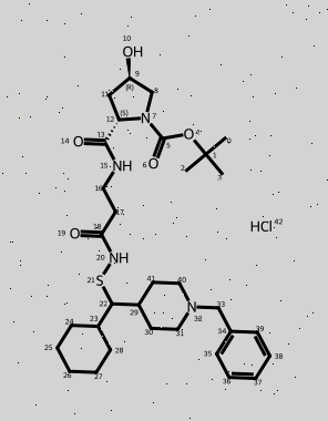 CC(C)(C)OC(=O)N1C[C@H](O)C[C@H]1C(=O)NCCC(=O)NSC(C1CCCCC1)C1CCN(Cc2ccccc2)CC1.Cl